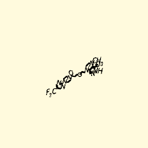 CN1CCN(CCOCCC(=O)N2CCN(c3ncc(C(F)(F)F)cn3)CC2)c2cn[nH]c(=O)c21